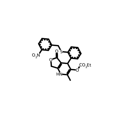 CCOC(=O)OC1=C(C)NC2=C(C(=O)OC2)C1c1ccccc1SCc1cccc([N+](=O)[O-])c1